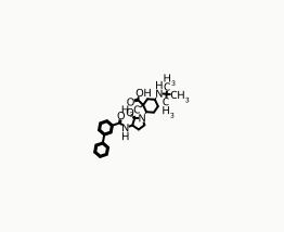 CC(C)(C)N[C@@H]1CC[C@H](N2CCC(NC(=O)c3cccc(-c4ccccc4)c3)C2=O)[C@](C)(C(=O)O)C1